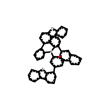 c1cc(-c2cccc3c2sc2ccccc23)cc(N(c2ccccc2-c2ccc3ccccc3c2)c2ccccc2-c2ccc3oc4ccccc4c3c2)c1